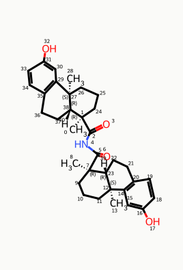 C[C@@]1(C(=O)NC(=O)[C@]2(C)CCC[C@]3(C)c4cc(O)ccc4CC[C@@H]23)CCC[C@]2(C)c3cc(O)ccc3CC[C@@H]12